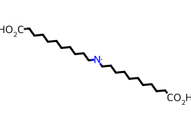 O=C(O)CCCCCCCCCC[N]CCCCCCCCCCC(=O)O